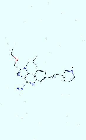 CCOCc1nc2c(N)nc3cc(/C=C/c4cccnc4)ccc3c2n1CC(C)C